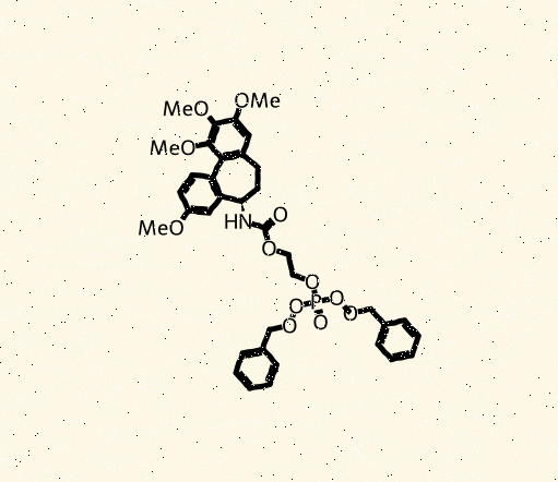 COc1ccc2c(c1)[C@@H](NC(=O)OCCOP(=O)(OOCc1ccccc1)OOCc1ccccc1)CCc1cc(OC)c(OC)c(OC)c1-2